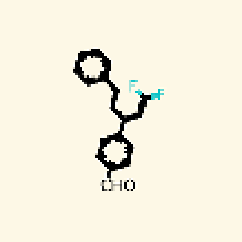 O=Cc1ccc(C(C=C(F)F)CCc2ccccc2)cc1